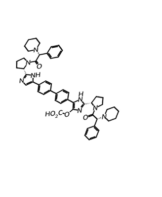 O=C(O)Oc1nc([C@@H]2CCCN2C(=O)[C@@H](c2ccccc2)N2CCCCC2)[nH]c1-c1ccc(-c2ccc(-c3cnc([C@@H]4CCCN4C(=O)[C@@H](c4ccccc4)N4CCCCC4)[nH]3)cc2)cc1